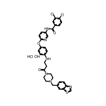 Cl.Cl.O=C(Nc1ccc(Oc2ccc(NCCC(=O)N3CCN(Cc4ccc5ncsc5c4)CC3)cc2)nc1)c1ccc(Cl)c(Cl)c1